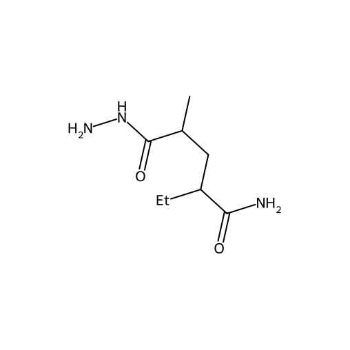 CCC(CC(C)C(=O)NN)C(N)=O